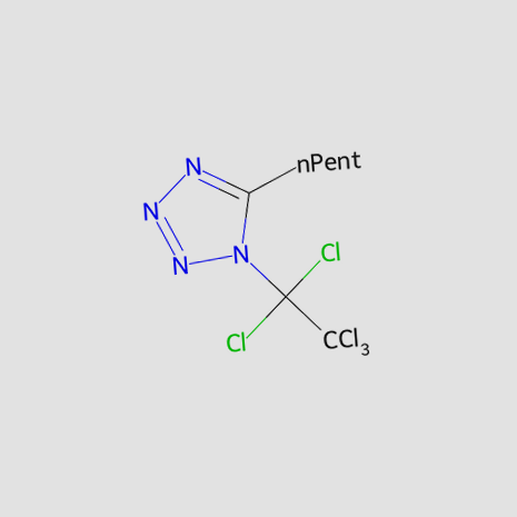 CCCCCc1nnnn1C(Cl)(Cl)C(Cl)(Cl)Cl